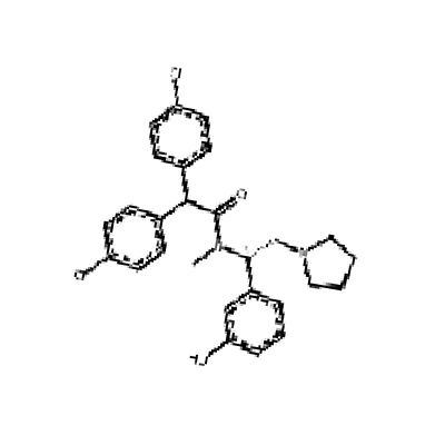 CN(C(=O)C(c1ccc(Cl)cc1)c1ccc(Cl)cc1)[C@H](CN1CCCC1)c1cccc(O)c1